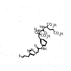 CC(Cc1cccc(NC(=O)Cn2cc(CCCF)nn2)c1)(NC(=O)NC(CCC(=O)O)C(=O)O)C(=O)O